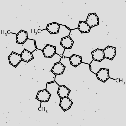 Cc1ccc(C=C(c2cc[c]([Sn]([c]3ccc(C(=Cc4ccc(C)cc4)c4ccc5ccccc5c4)cc3)([c]3ccc(C(=Cc4ccc(C)cc4)c4ccc5ccccc5c4)cc3)[c]3ccc(C(=Cc4ccc(C)cc4)c4ccc5ccccc5c4)cc3)cc2)c2ccc3ccccc3c2)cc1